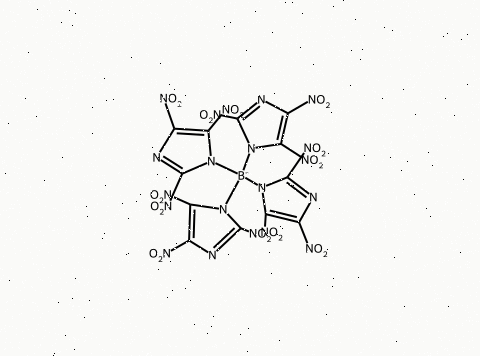 O=[N+]([O-])c1nc([N+](=O)[O-])n([B-](n2c([N+](=O)[O-])nc([N+](=O)[O-])c2[N+](=O)[O-])(n2c([N+](=O)[O-])nc([N+](=O)[O-])c2[N+](=O)[O-])n2c([N+](=O)[O-])nc([N+](=O)[O-])c2[N+](=O)[O-])c1[N+](=O)[O-]